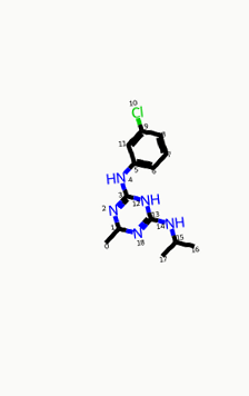 CC1N=C(Nc2cccc(Cl)c2)NC(NC(C)C)=N1